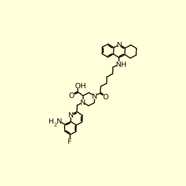 Nc1cc(F)cc2ccc(CN3CCN(C(=O)CCCCCNc4c5c(nc6ccccc46)CCCC5)CC3C(=O)O)nc12